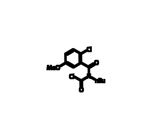 CCCCN(C(=O)Cl)C(=O)c1cc(OC)ccc1Cl